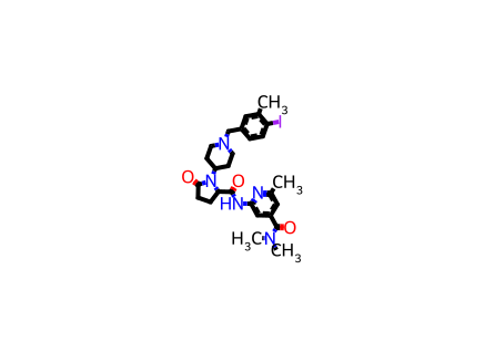 Cc1cc(C(=O)N(C)C)cc(NC(=O)C2CCC(=O)N2C2CCN(Cc3ccc(I)c(C)c3)CC2)n1